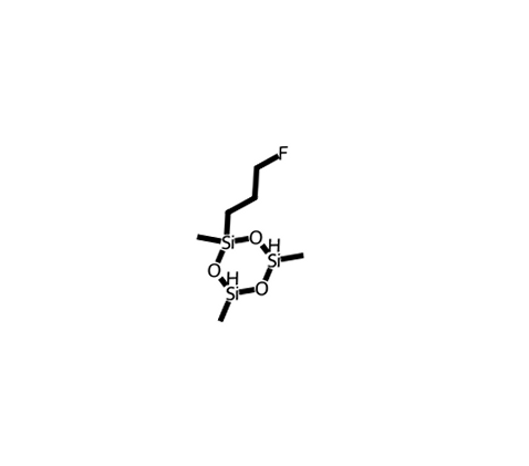 C[SiH]1O[SiH](C)O[Si](C)(CCCF)O1